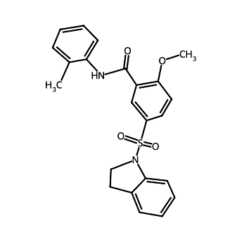 COc1ccc(S(=O)(=O)N2CCc3ccccc32)cc1C(=O)Nc1ccccc1C